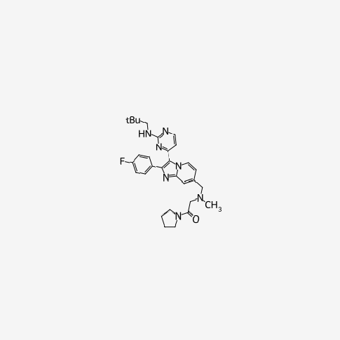 CN(CC(=O)N1CCCC1)Cc1ccn2c(-c3ccnc(NCC(C)(C)C)n3)c(-c3ccc(F)cc3)nc2c1